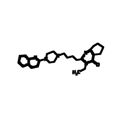 CCn1c(CCCCN2CCN(c3ccc4ccccc4n3)CC2)nc2c(c1=O)CCCC2